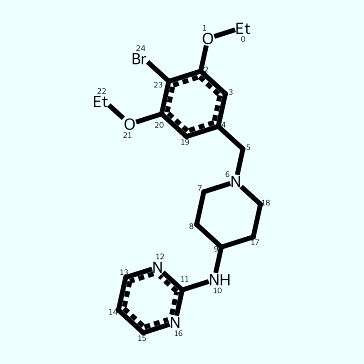 CCOc1cc(CN2CCC(Nc3ncccn3)CC2)cc(OCC)c1Br